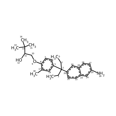 CCC(CC)(c1ccc(OCC(O)C(C)(C)C)c(C)c1)c1ccc2cc(N)ccc2c1